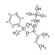 CC=C(C)C(=O)OS(C)(C)c1ccccc1.O=S(=O)(O)O